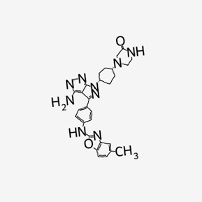 Cc1ccc2oc(Nc3ccc(-c4nn([C@H]5CC[C@@H](N6CCNC(=O)C6)CC5)c5ncnc(N)c45)cc3)nc2c1